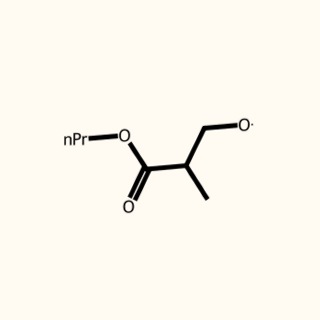 CCCOC(=O)C(C)C[O]